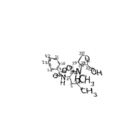 CC(C)CC(NS(=O)(=O)c1ccccc1)C(=O)N[C@H]1CCOC1O